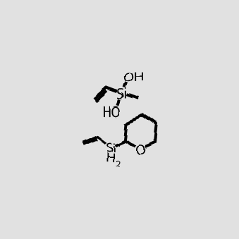 C=C[SiH2]C1CCCCO1.C=C[Si](C)(O)O